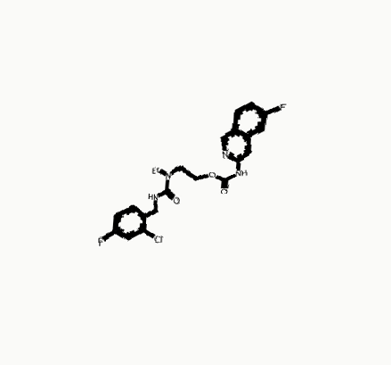 CCN(CCOC(=O)Nc1cc2cc(F)ccc2cn1)C(=O)NCc1ccc(F)cc1Cl